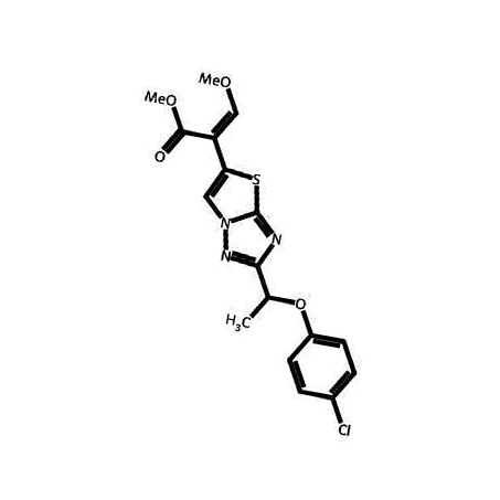 CO/C=C(\C(=O)OC)c1cn2nc(C(C)Oc3ccc(Cl)cc3)nc2s1